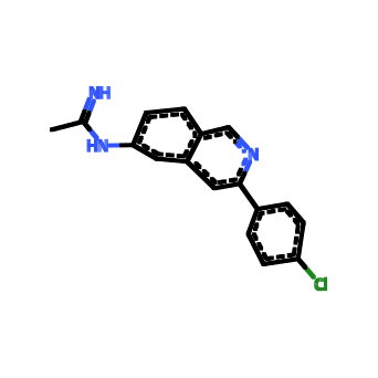 CC(=N)Nc1ccc2cnc(-c3ccc(Cl)cc3)cc2c1